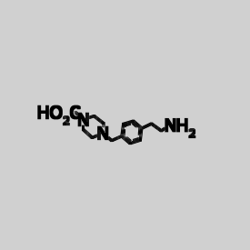 NCCc1ccc(CN2CCN(C(=O)O)CC2)cc1